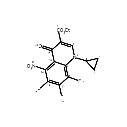 CCOC(=O)c1cn(C2CC2)c2c(F)c(F)c(F)c([N+](=O)[O-])c2c1=O